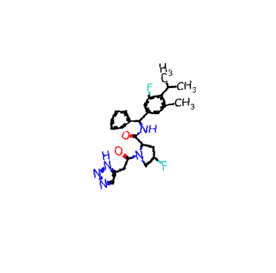 Cc1cc(C(NC(=O)C2CC(F)CN2C(=O)Cc2cnn[nH]2)c2ccccc2)cc(F)c1C(C)C